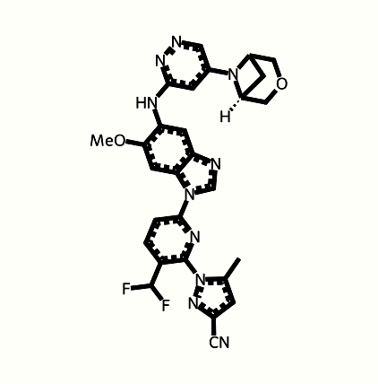 COc1cc2c(cc1Nc1cc(N3C4COC[C@@H]3C4)cnn1)ncn2-c1ccc(C(F)F)c(-n2nc(C#N)cc2C)n1